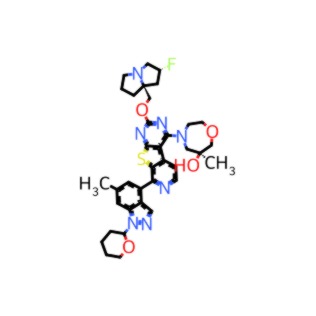 Cc1cc(-c2nccc3c2sc2nc(OC[C@@]45CCCN4C[C@H](F)C5)nc(N4CCOC[C@@](C)(O)C4)c23)c2cnn(C3CCCCO3)c2c1